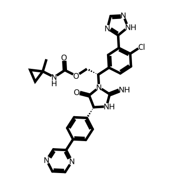 CC1(NC(=O)OC[C@H](c2ccc(Cl)c(-c3ncn[nH]3)c2)N2C(=N)N[C@H](c3ccc(-c4cnccn4)cc3)C2=O)CC1